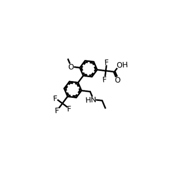 CCNCc1cc(C(F)(F)F)ccc1-c1cc(C(F)(F)C(=O)O)ccc1OC